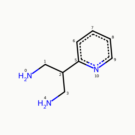 NCC(CN)c1ccccn1